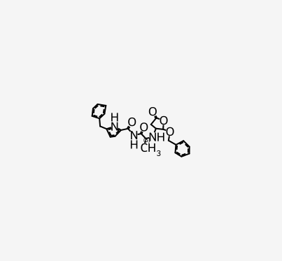 C[C@H](NC1CC(=O)OC1OCc1ccccc1)C(=O)NC(=O)c1ccc(Cc2ccccc2)[nH]1